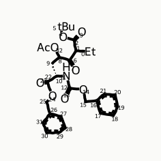 CCC(C(=O)OC(C)(C)C)C(=O)C(C[C@H](NC(=O)OCc1ccccc1)C(=O)OCc1ccccc1)OC(C)=O